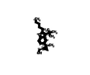 CCCCCc1oc2ccc([C@@]3(C)C[C@H]3CO)cc2c1C(C)(C)C